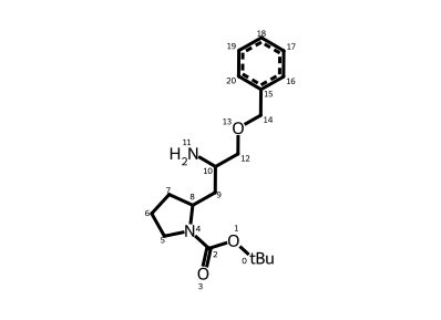 CC(C)(C)OC(=O)N1CCCC1CC(N)COCc1ccccc1